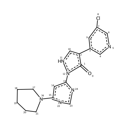 O=c1c(-c2cncc(Cl)c2)c[nH]n1-c1cc(N2CCCCC2)ncn1